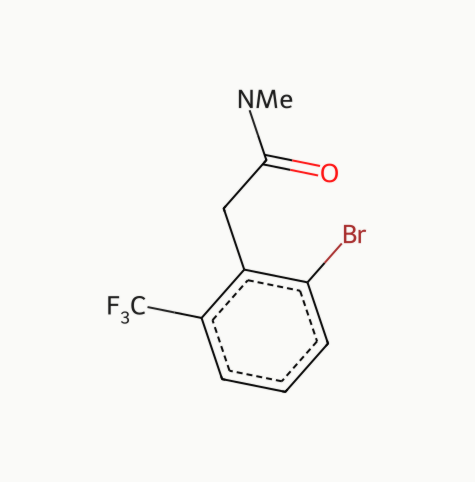 CNC(=O)Cc1c(Br)cccc1C(F)(F)F